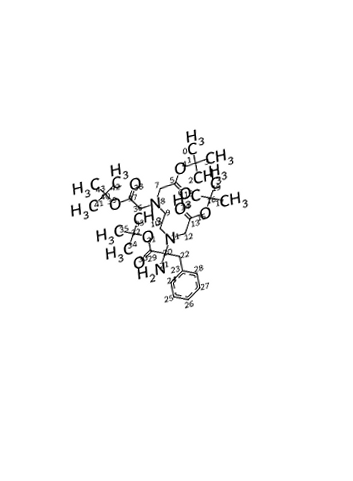 CC(C)(C)OC(=O)CN(CCN(CC(=O)OC(C)(C)C)C(N)(Cc1ccccc1)C(=O)OC(C)(C)C)CC(=O)OC(C)(C)C